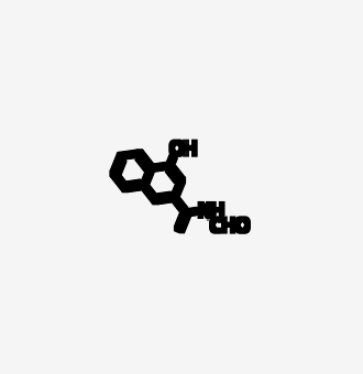 C=C(NC=O)c1cc(O)c2ccccc2c1